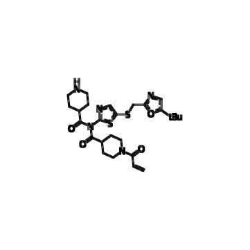 C=CC(=O)N1CCC(C(=O)N(C(=O)C2CCNCC2)c2ncc(SCc3ncc(C(C)(C)C)o3)s2)CC1